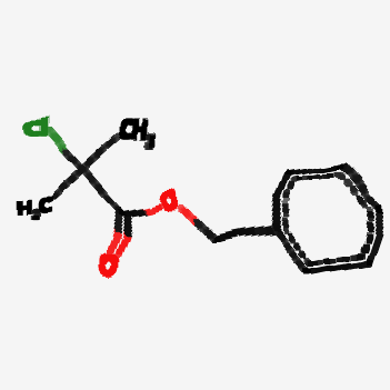 CC(C)(Cl)C(=O)OCc1ccccc1